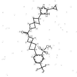 CS(=O)(=O)c1cc(C(F)(F)F)ccc1C1CC2(C1)CN(C(=O)N1CC3(CC(c4nnc(C5CC5)[nH]4)C3)C1)C2